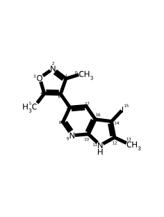 Cc1noc(C)c1-c1cnc2[nH]c(C)c(I)c2c1